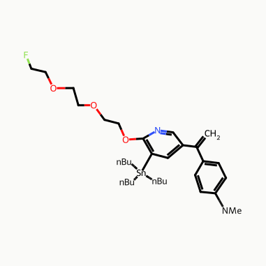 C=C(c1ccc(NC)cc1)c1cnc(OCCOCCOCCF)[c]([Sn]([CH2]CCC)([CH2]CCC)[CH2]CCC)c1